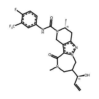 C=C[C@H](O)C1CN(C)C(=O)c2c3c(nn2C1)C[C@@H](C)N(C(=O)Nc1ccc(F)c(C(F)(F)F)c1)C3